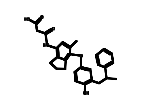 Cc1cc(NC(=O)CC(=O)O)c2c(c1Oc1ccc(O)c(CC(C)c3ccccc3)c1)CCC2